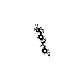 COc1cccc(CN(C)c2cnc3cc(-c4ncnc5[nH]ncc45)ccc3n2)c1